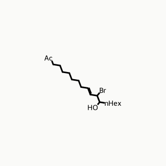 CCCCCCC(O)C(Br)C=CCCCCCCCC(C)=O